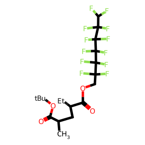 CCC(CC(C)C(=O)OC(C)(C)C)C(=O)OCC(F)(F)C(F)(F)C(F)(F)C(F)(F)C(F)(F)C(F)F